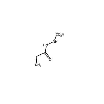 NCC(=O)NNC(=O)O